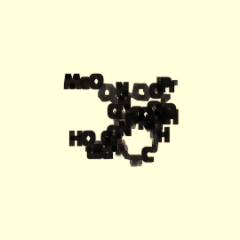 COc1ccc2c(O[C@@H]3C[C@H]4C(=O)N[C@]5(C(=O)NS(=O)(=O)C6CC6)C[C@H]5C=CCC[C@@H](C)C[C@@H](C)[C@H](N(C(=O)O)C(C)(C)C)C(=O)N4C3)nc(-c3ccc(OC(C)C)cc3)nc2c1